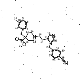 COC(=O)C1(Cc2cccc(C)c2)CCN(CCc2cncn2Cc2ccc(C#N)cc2)CC1